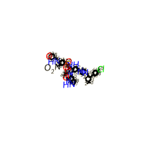 CC1(C)CCC(CN2CCN(c3ccc(C(=O)NS(=O)(=O)c4ccc(NCC5CCOCC5)c([N+](=O)[O-])c4)c(N4CC(C)(C)Oc5nc6[nH]ccc6cc54)c3)CC2)=C(c2ccc(Cl)cc2)C1